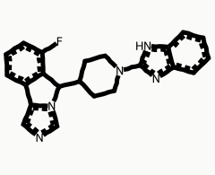 Fc1cccc2c1C(C1CCN(c3nc4ccccc4[nH]3)CC1)n1cncc1-2